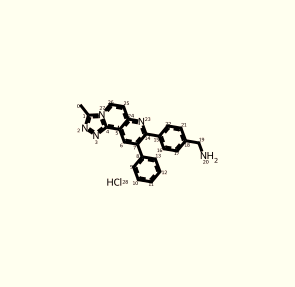 Cc1nnc2c3cc(-c4ccccc4)c(-c4ccc(CN)cc4)nc3ccn12.Cl